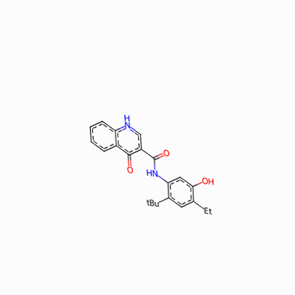 CCc1cc(C(C)(C)C)c(NC(=O)c2c[nH]c3ccccc3c2=O)cc1O